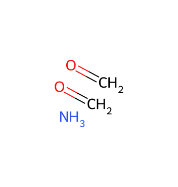 C=O.C=O.N